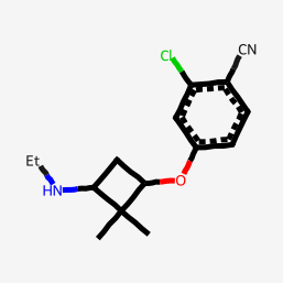 CCNC1CC(Oc2ccc(C#N)c(Cl)c2)C1(C)C